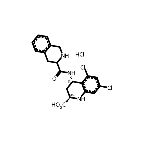 Cl.O=C(N[C@H]1C[C@H](C(=O)O)Nc2cc(Cl)cc(Cl)c21)C1Cc2ccccc2CN1